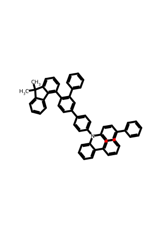 CC1(C)c2ccccc2-c2c(-c3ccc(-c4ccc(N(c5ccc(-c6ccccc6)cc5)c5ccccc5-c5ccccc5)cc4)cc3-c3ccccc3)cccc21